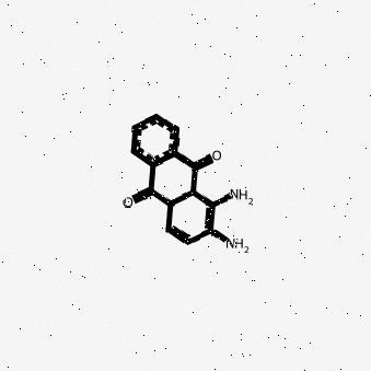 NC1=C(N)C2C(=O)c3ccccc3C(=O)C2C=C1